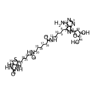 Nc1ncnc2c1c(CCCCCNC(=O)CCCCCNC(=O)CCCC[C@@H]1SC[C@@H]3NC(=O)N[C@@H]31)nn2[C@@H]1C[C@H](O)[C@@H](CO)O1